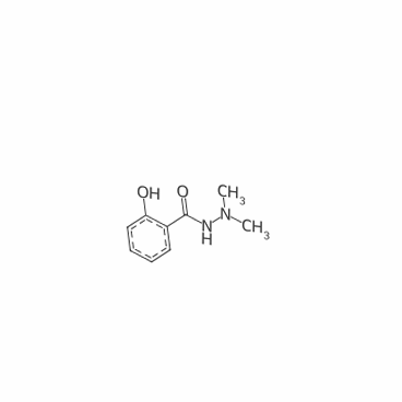 CN(C)NC(=O)c1ccccc1O